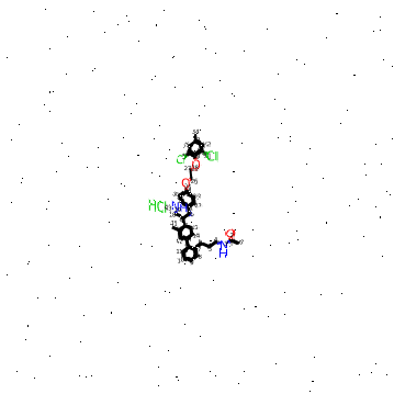 CC(=O)NCCCc1ccccc1-c1ccc(C(CN)Cc2ccc(OCCOc3c(Cl)cc(C)cc3Cl)cc2)c(C)c1.Cl